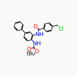 CC(C)(C)OC(=O)Nc1ccc(-c2ccccc2)cc1NC(=O)c1ccc(CCl)cc1